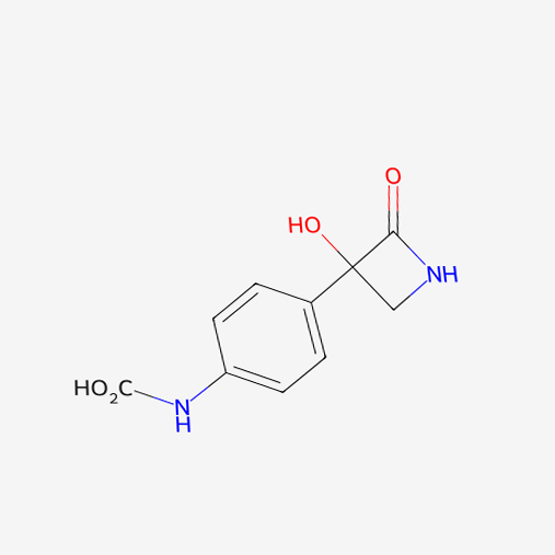 O=C(O)Nc1ccc(C2(O)CNC2=O)cc1